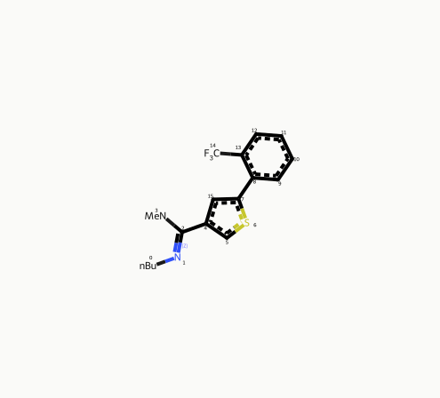 CCCC/N=C(\NC)c1csc(-c2ccccc2C(F)(F)F)c1